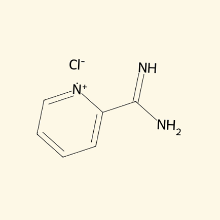 N=C(N)C1=CC=CC=[N+]1.[Cl-]